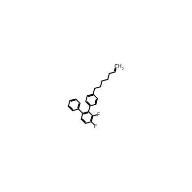 C=CCCCCCc1ccc(-c2c(-c3ccccc3)ccc(F)c2F)cc1